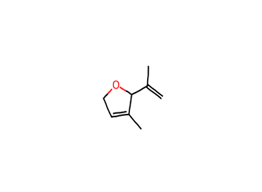 C=C(C)C1OCC=C1C